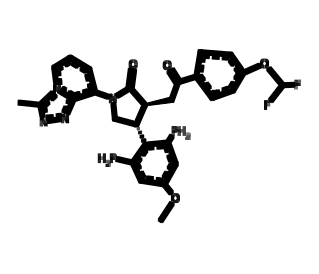 COc1cc(P)c([C@@H]2CN(c3cccn4c(C)nnc34)C(=O)[C@H]2CC(=O)c2ccc(OC(F)F)cc2)c(P)c1